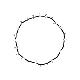 C1CCCCCCCSSSSSSSSSCCCCCCC1